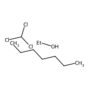 CCCCCCC.CCO.ClC(Cl)Cl